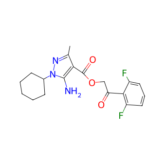 Cc1nn(C2CCCCC2)c(N)c1C(=O)OCC(=O)c1c(F)cccc1F